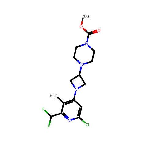 Cc1c(N2CC(N3CCN(C(=O)OC(C)(C)C)CC3)C2)cc(Cl)nc1C(F)F